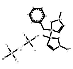 CCCN1C=C[N+](C)([N+]2(Cc3ccccc3)C=CN(C)C2)C1.F[B-](F)(F)F.F[B-](F)(F)F